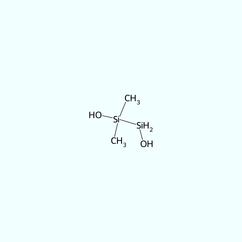 C[Si](C)(O)[SiH2]O